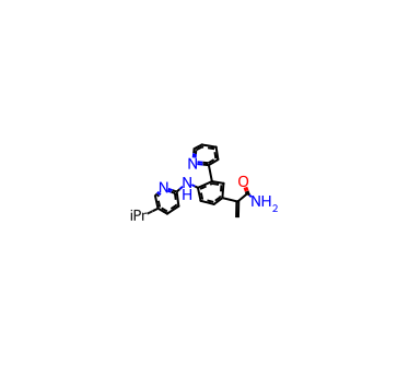 C=C(C(N)=O)c1ccc(Nc2ccc(C(C)C)cn2)c(-c2ccccn2)c1